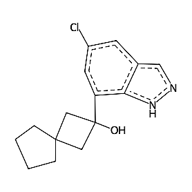 OC1(c2cc(Cl)cc3cn[nH]c23)CC2(CCCC2)C1